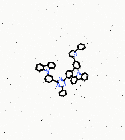 C1=CC(n2c3ccccc3c3ccccc32)=CC(c2nc(-c3ccccc3)nc(-c3ccc(-c4cc(-c5cccc(-c6ccccc6)n5)ccc4-n4c5ccccc5c5ccccc54)cc3)n2)C1